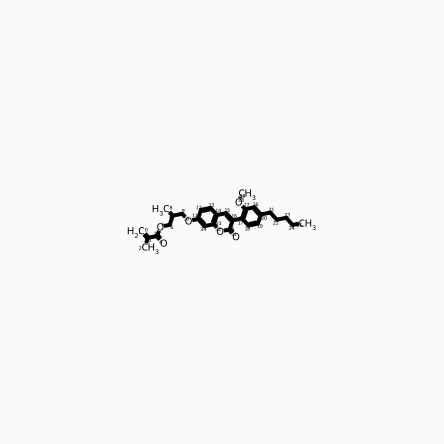 C=C(C)C(=O)OCC(C)COc1ccc2cc(-c3ccc(CCCCC)cc3OC)c(=O)oc2c1